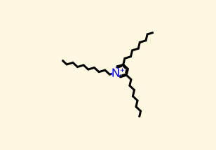 CCCCCCCCCC[n+]1cc(CCCCCCCC)cc(CCCCCCCC)c1